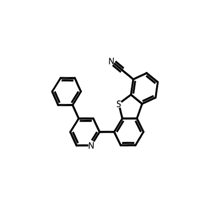 N#Cc1cccc2c1sc1c(-c3cc(-c4ccccc4)ccn3)cccc12